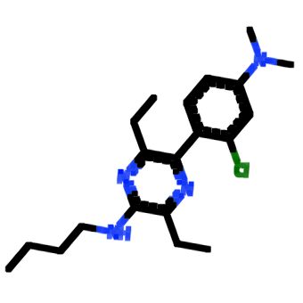 CCCCNc1nc(CC)c(-c2ccc(N(C)C)cc2Cl)nc1CC